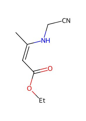 CCOC(=O)C=C(C)NCC#N